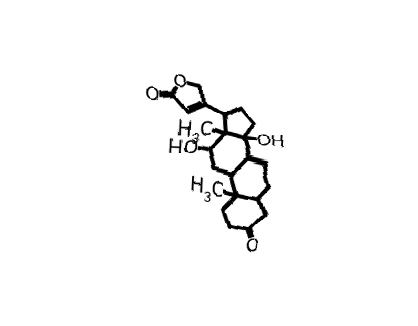 CC12CCC(=O)CC1CCC1C2CC(O)C2(C)C(C3=CC(=O)OC3)CCC12O